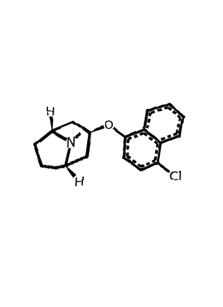 CN1[C@@H]2CC[C@H]1C[C@H](Oc1ccc(Cl)c3ccccc13)C2